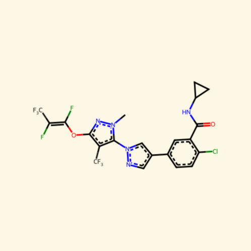 Cn1nc(OC(F)=C(F)C(F)(F)F)c(C(F)(F)F)c1-n1cc(-c2ccc(Cl)c(C(=O)NC3CC3)c2)cn1